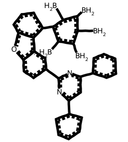 Bc1c(B)c(B)c(-c2cccc3oc4ccc(-c5nc(-c6ccccc6)cc(-c6ccccc6)n5)cc4c23)c(B)c1B